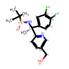 CC(C)(C)[S@@+]([O-])N[C@@](C)(c1ccc(F)c(F)c1)c1ccc(CO)cn1